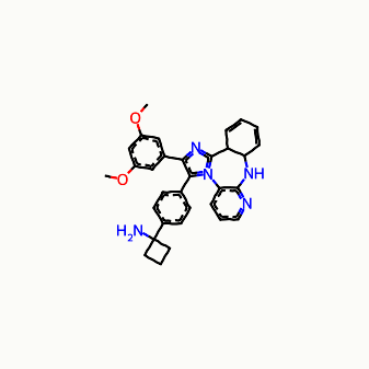 COc1cc(OC)cc(-c2nc3n(c2-c2ccc(C4(N)CCC4)cc2)-c2cccnc2NC2C=CC=CC32)c1